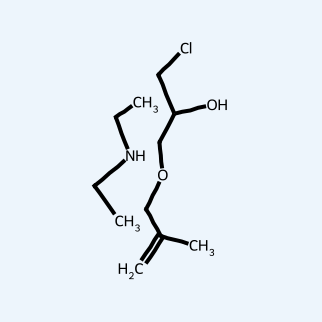 C=C(C)COCC(O)CCl.CCNCC